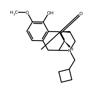 COc1ccc2c(c1O)[C@@]13CCN(CC4CCC4)C(C2)[C@H]1CCC(=O)C3